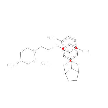 Cc1ccc(C)c(C2CC3CCC(C2)C3c2cccc(OCCN3CCC(C)C[C@H]3C)c2)c1